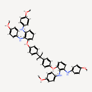 COc1ccc(Nc2cccc(Oc3ccc(C(C)(C)c4ccc(Oc5cccc(Nc6ccc(OC)cc6)c5Nc5ccc(OC)cc5)cc4)cc3)c2Nc2ccc(OC)cc2)cc1